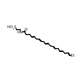 CCC=CCC=CCC=CCC=CCC=CCC=CCCC(=O)NCCS(=O)(=O)O